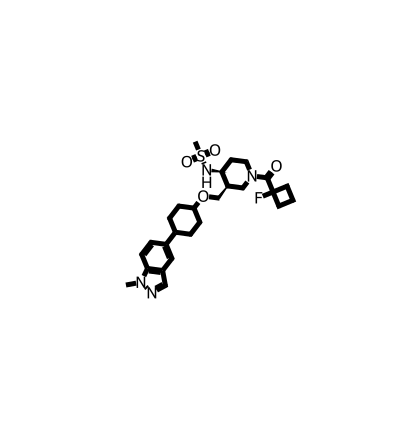 Cn1ncc2cc(C3CCC(OC[C@@H]4CN(C(=O)C5(F)CCC5)CC[C@@H]4NS(C)(=O)=O)CC3)ccc21